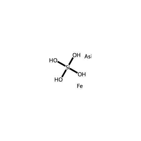 O[Si](O)(O)O.[As].[Fe]